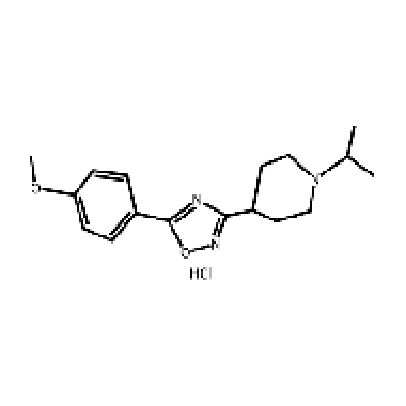 COc1ccc(-c2nc(C3CCN(C(C)C)CC3)no2)cc1.Cl